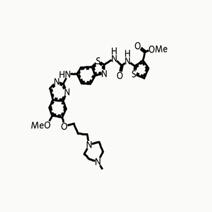 COC(=O)c1ccsc1NC(=O)Nc1nc2ccc(Nc3ncc4cc(OC)c(OCCCN5CCN(C)CC5)cc4n3)cc2s1